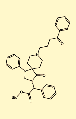 CC(C)(C)OC(=O)C(c1ccccc1)N1CN(c2ccccc2)C2(CCN(CCCC(=O)c3ccccc3)CC2)C1=O